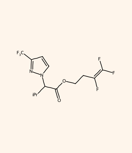 CC(C)C(C(=O)OCCC(F)=C(F)F)n1ccc(C(F)(F)F)n1